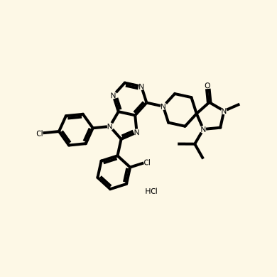 CC(C)N1CN(C)C(=O)C12CCN(c1ncnc3c1nc(-c1ccccc1Cl)n3-c1ccc(Cl)cc1)CC2.Cl